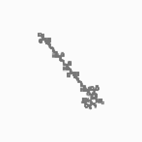 CCC(CC)[C@H](NC(C)=O)[C@@H]1[C@H](OC(=O)NCCCCCCNC(=O)CNC(=O)CCCC(=O)NCCCCCCNC(=O)N=O)[C@@H](C(=O)OC)C[C@H]1N